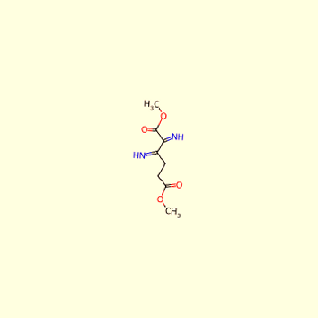 COC(=O)CCC(=N)C(=N)C(=O)OC